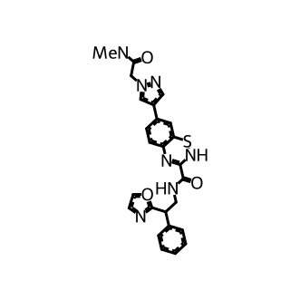 CNC(=O)Cn1cc(-c2ccc3c(c2)SNC(C(=O)NCC(c2ccccc2)c2ncco2)=N3)cn1